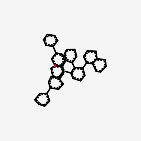 c1ccc(-c2ccc(N(c3ccc(-c4ccccc4)cc3)c3cccc(-c4cccc5ccccc45)c3-c3ccccc3-c3ccccc3)cc2)cc1